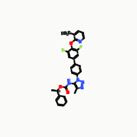 Cc1nnn(-c2ccc(-c3cc(F)c(Oc4ncccc4C(=O)O)c(F)c3)cc2)c1NC(=O)O[C@H](C)c1ccccc1